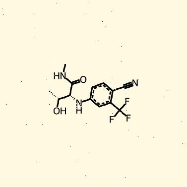 CNC(=O)[C@H](Nc1ccc(C#N)c(C(F)(F)F)c1)[C@@H](C)O